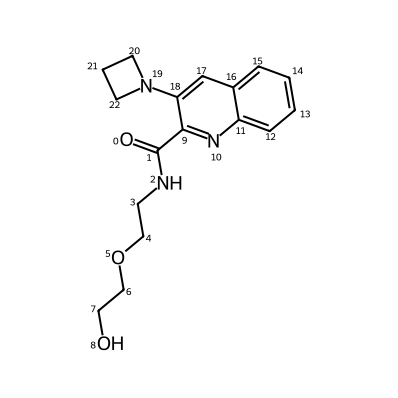 O=C(NCCOCCO)c1nc2ccccc2cc1N1CCC1